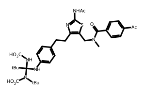 CC(=O)Nc1nc(CCc2ccc(NC(NC(=O)O)(N(C(=O)O)C(C)(C)C)C(C)(C)C)cc2)c(CN(C)C(=O)c2ccc(C(C)=O)cc2)s1